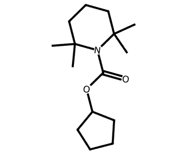 CC1(C)CCCC(C)(C)N1C(=O)OC1CCCC1